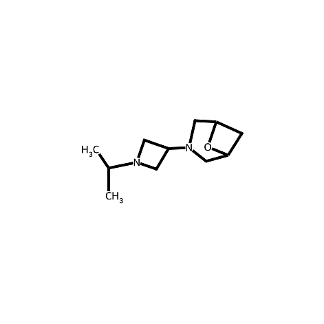 CC(C)N1CC(N2CC3CC(C2)O3)C1